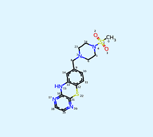 CS(=O)(=O)N1CCN(Cc2ccc3c(c2)Nc2nccnc2S3)CC1